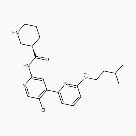 CC(C)CCNc1cccc(-c2cc(NC(=O)[C@@H]3CCCNC3)ncc2Cl)n1